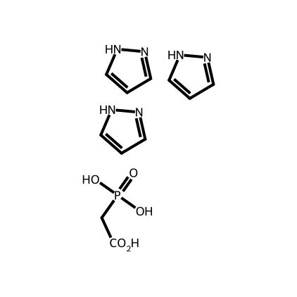 O=C(O)CP(=O)(O)O.c1cn[nH]c1.c1cn[nH]c1.c1cn[nH]c1